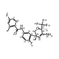 Cc1cc(F)cnc1C(=O)Nc1ccc(F)c([C@]2(C)CO[C@@](C)(C(F)(F)F)C(N)=N2)c1